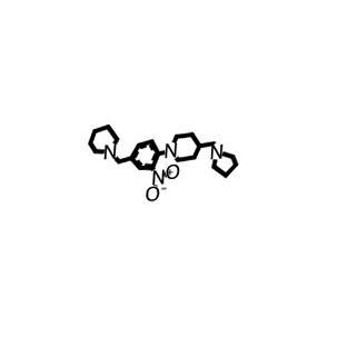 O=[N+]([O-])c1cc(CN2CCCCC2)ccc1N1CCC(CN2CCCC2)CC1